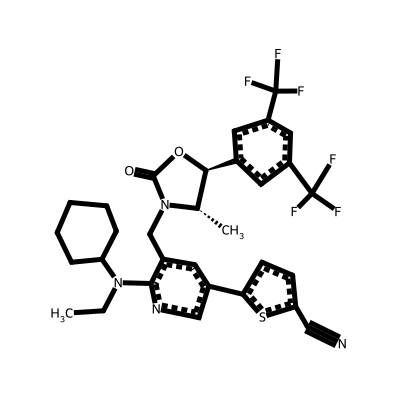 CCN(c1ncc(-c2ccc(C#N)s2)cc1CN1C(=O)O[C@@H](c2cc(C(F)(F)F)cc(C(F)(F)F)c2)[C@@H]1C)C1CCCCC1